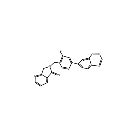 O=C1c2cccnc2CN1Cc1ccc(-c2ccc3ccncc3c2)cc1F